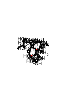 CCCCOC(CNC1(C)CC(OC2C(O)CC(O)(CO)OC2Oc2c3cc4cc2Oc2ccc(cc2Cl)[C@@H](O)[C@@H]2NC(=O)C(NC(=O)[C@@H]4NC(=O)[C@H](CC(N)=O)NC(=O)C(NC(=O)[C@@H](CC(C)C)NC)[C@H](O)c4ccc(c(Cl)c4)O3)c3ccc(O)c(c3)-c3c(O)cc(O)cc3[C@H](C(=O)O)NC2=O)OC(C)C1O)C(=O)O